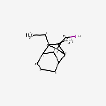 CCC12C3CCCC(C3)C(C1C)C2CI